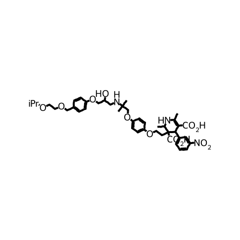 CC1=C(C(=O)O)C(c2cccc([N+](=O)[O-])c2)C(CCOc2ccc(OCC(C)(C)NCC(O)COc3ccc(COCCOC(C)C)cc3)cc2)(C(=O)O)C(C)N1